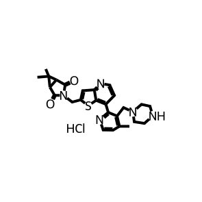 Cc1ccnc(-c2ccnc3cc(CN4C(=O)C5C(C4=O)C5(C)C)sc23)c1CN1CCNCC1.Cl